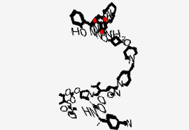 CC(C)C(C(=O)N1C[C@H](OC(=O)OC(C)C(C)SS(C)(=O)=O)C[C@H]1C(=O)N[C@@H](C)c1ccc(C#N)cc1)c1cc(N2CCC(CN3CCC(OC4CC(Oc5cc(N6C7CCC6CN(c6cc(-c8ccccc8O)nnc6N)C7)ccn5)C4)CC3)CC2)no1